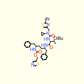 CC(C)COC(C)C(NC(=O)N(Cc1csc(C(C)C)n1)C1CC1)C(=O)NC(CCC(Cc1ccccc1)NC(=O)OCc1cncs1)Cc1ccccc1